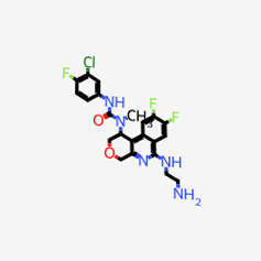 CN(C(=O)Nc1ccc(F)c(Cl)c1)C1COCc2nc(NCCN)c3cc(F)c(F)cc3c21